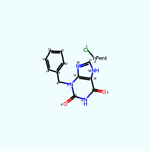 CCCCCCl.O=c1[nH]c(=O)n(Cc2ccccc2)c2nc[nH]c12